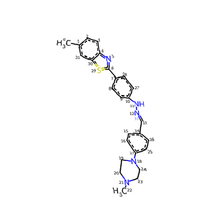 Cc1ccc2nc(-c3ccc(N/N=C/c4ccc(N5CCN(C)CC5)cc4)cc3)sc2c1